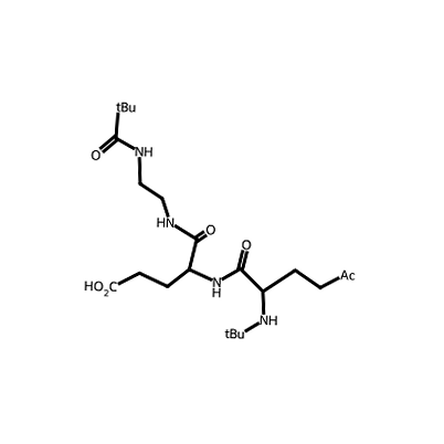 CC(=O)CCC(NC(C)(C)C)C(=O)NC(CCC(=O)O)C(=O)NCCNC(=O)C(C)(C)C